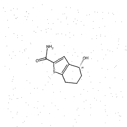 NC(=O)c1cc2c(s1)CCC[C@H]2O